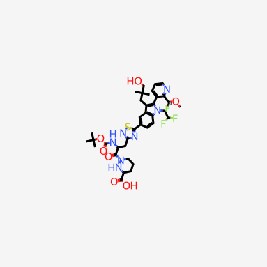 CO[C@@H](C)c1ncccc1-c1c(CC(C)(C)CO)c2cc(-c3nc(CC(NC(=O)OC(C)(C)C)C(=O)N4CCCC(C(=O)O)N4)ns3)ccc2n1C(F)C(F)F